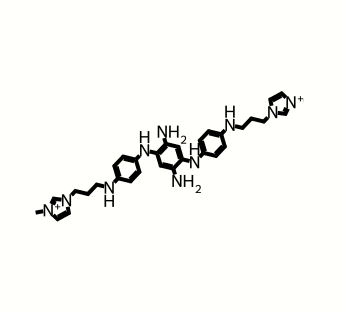 C[n+]1ccn(CCCNc2ccc(Nc3cc(N)c(Nc4ccc(NCCCn5cc[n+](C)c5)cc4)cc3N)cc2)c1